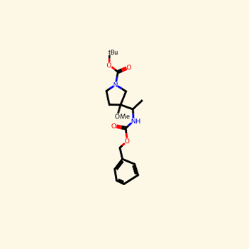 COC1(C(C)NC(=O)OCc2ccccc2)CCN(C(=O)OC(C)(C)C)C1